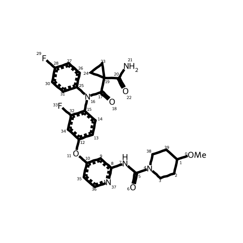 COC1CCN(C(=O)Nc2cc(Oc3ccc(N(C(=O)C4(C(N)=O)CC4)c4ccc(F)cc4)c(F)c3)ccn2)CC1